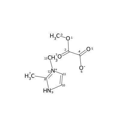 COC(=O)C(=O)[O-].Cc1[nH]cc[n+]1C